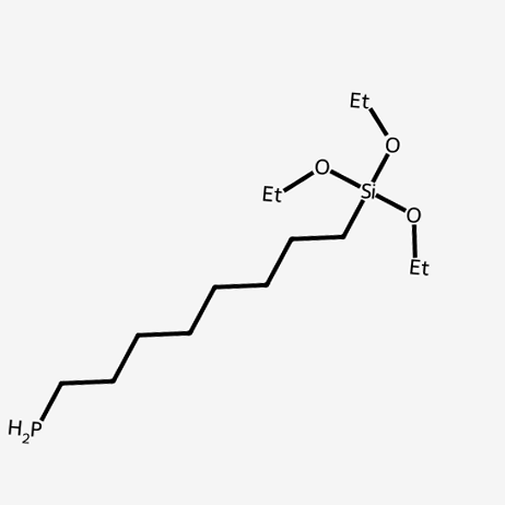 CCO[Si](CCCCCCCCP)(OCC)OCC